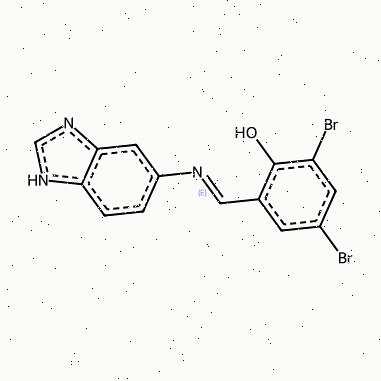 Oc1c(Br)cc(Br)cc1/C=N/c1ccc2[nH]cnc2c1